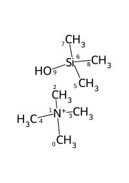 C[N+](C)(C)C.C[Si](C)(C)O